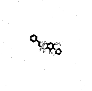 Cc1cc(C)c(N2CCCC2)c(C)c1NS(=O)(=O)C=Cc1ccccc1